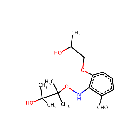 CC(O)COc1cccc(C=O)c1NOC(C)(C)C(C)(C)O